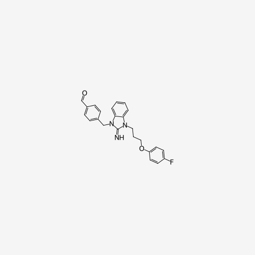 N=c1n(CCCOc2ccc(F)cc2)c2ccccc2n1Cc1ccc(C=O)cc1